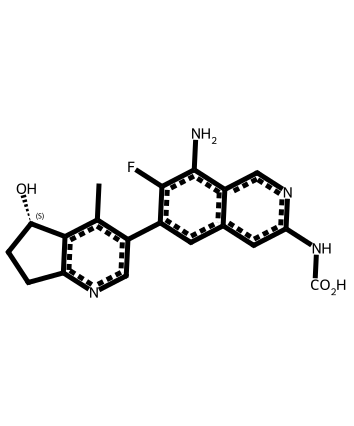 Cc1c(-c2cc3cc(NC(=O)O)ncc3c(N)c2F)cnc2c1[C@@H](O)CC2